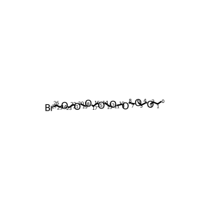 CCCOCCOCCOCCOCCOCCOCCOCCOCCBr